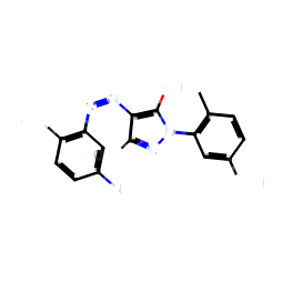 Cc1ccc(S(=O)(=O)O)cc1-n1nc(C(=O)O)c(/N=N\c2cc(N)ccc2S(=O)(=O)O)c1O